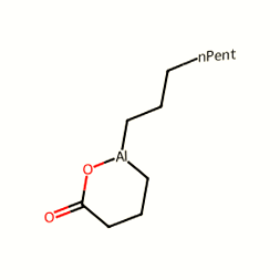 CCCCCCC[CH2][Al]1[CH2]CCC(=O)[O]1